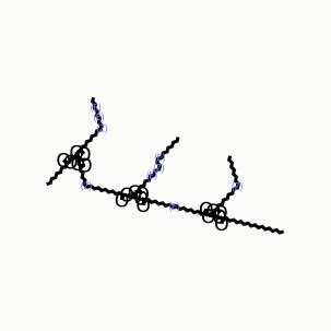 CC/C=C/C/C=C/C/C=C\CCCCCCCC(=O)OC(COC(=O)CCCC/C=C\CCCCCCCCCC(=O)OCC(COC(=O)CCCCCCC/C=C/CCCCCCCC(=O)OC(COC(=O)CCCCCCCCCCCCCCCCC)OC(=O)CCCCCCC/C=C\CCCCCCCC)OC(=O)CCCC/C=C/C/C=C\C/C=C/CCCCCCC)COC(=O)CCCCCCCC